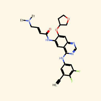 C#Cc1cc(Nc2ncnc3cc(OC4CCOC4)c(NC(=O)/C=C/CN(CC)CC)cc23)cc(F)c1F